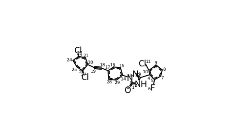 O=c1[nH]c(-c2c(F)cccc2Cl)nn1-c1ccc(C#Cc2cc(Cl)ccc2Cl)cc1